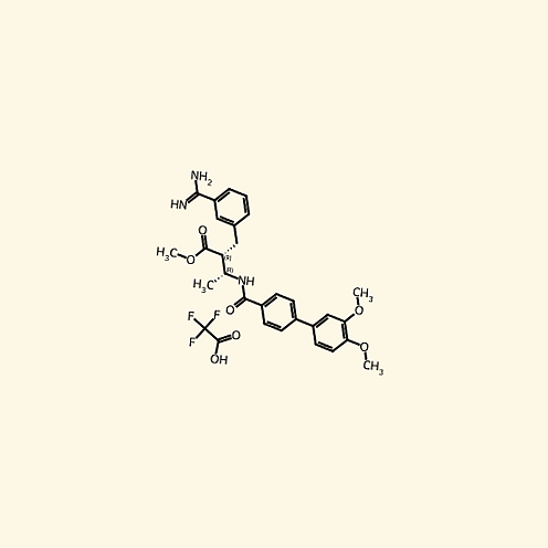 COC(=O)[C@H](Cc1cccc(C(=N)N)c1)[C@@H](C)NC(=O)c1ccc(-c2ccc(OC)c(OC)c2)cc1.O=C(O)C(F)(F)F